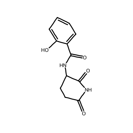 O=C1CCC(NC(=O)c2ccccc2O)C(=O)N1